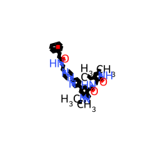 CCCc1cc(C)[nH]c(=O)c1CNC(=O)c1cc(-c2ccc(N3CCN(CCNC(=O)CCC45CC6CC(CC(C6)C4)C5)CC3)nc2)cc2c1cnn2C(C)C